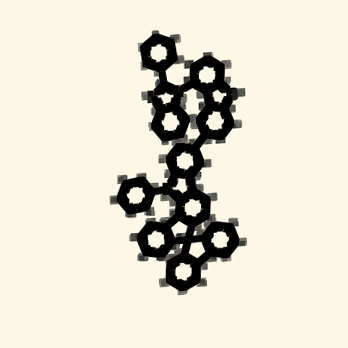 c1ccc(-c2nc3ccccc3n2-c2cccc3oc4ccc(-c5ccc6c(c5)c5ccc7c(c5n6-c5ccccc5)-c5ccccc5C75c6ccccc6-c6ccccc65)cc4c23)cc1